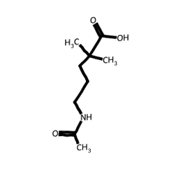 CC(=O)NCCCC(C)(C)C(=O)O